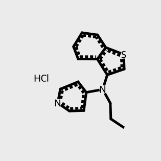 CCCN(c1ccncc1)c1csc2ccccc12.Cl